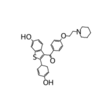 O=C(c1ccc(OCCN2CCCCC2)cc1)c1c(C2C=CC(O)=CC2)sc2cc(O)ccc12